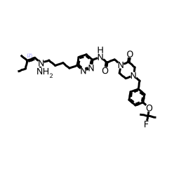 CC/C(C)=C\N(N)CCCCc1ccc(NC(=O)CN2CCN(Cc3cccc(OC(C)(C)F)c3)CC2=O)nn1